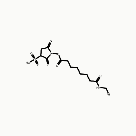 [3H]CNC(=O)CCCCCCC(=O)ON1C(=O)CC(S(=O)(=O)O)C1=O